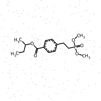 CCC(C)OC(=O)c1ccc(CCP(=O)(OC)OC)cc1